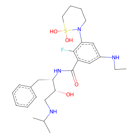 CCNc1cc(C(=O)N[C@@H](Cc2ccccc2)[C@H](O)CNC(C)C)c(F)c(N2CCCCS2(O)O)c1